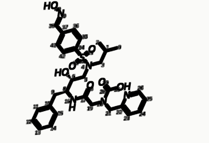 CC(C)CN(C[C@@H](O)[C@H](Cc1ccccc1)NC(=O)CN(Cc1ccccn1)C(=O)O)S(=O)(=O)c1ccc(/C=N/O)cc1